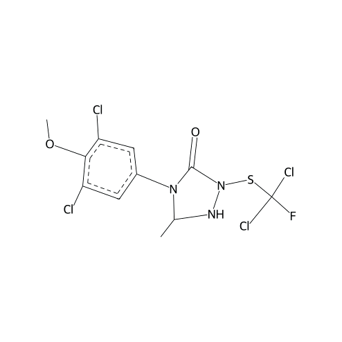 COc1c(Cl)cc(N2C(=O)N(SC(F)(Cl)Cl)NC2C)cc1Cl